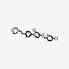 O=c1cc(OCc2ccc(Cl)cn2)ccn1-c1ccc(CCN2CCOCC2)cc1